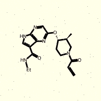 C=CC(=O)N1CC[C@H](Oc2cnc3[nH]cc(C(=O)NCC)c3n2)[C@@H](C)C1